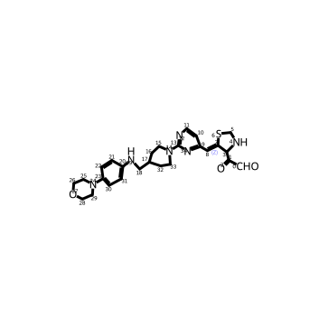 O=CC(=O)C1NCS/C1=C\c1ccnc(N2CCC(CNc3ccc(N4CCOCC4)cc3)CC2)n1